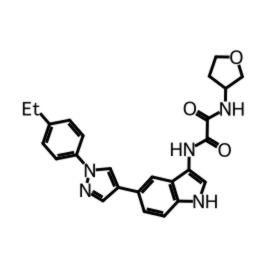 CCc1ccc(-n2cc(-c3ccc4[nH]cc(NC(=O)C(=O)NC5CCOC5)c4c3)cn2)cc1